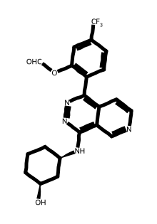 O=COc1cc(C(F)(F)F)ccc1-c1nnc(N[C@@H]2CCC[C@H](O)C2)c2cnccc12